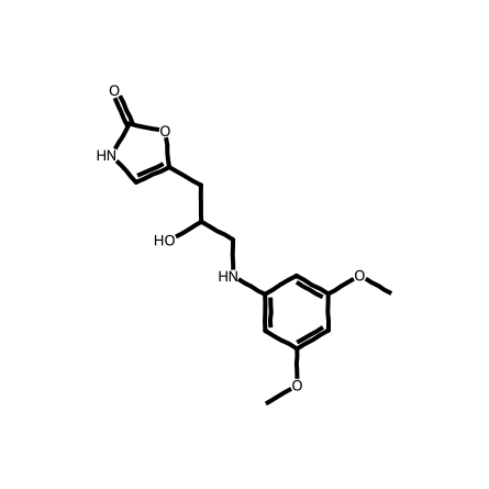 COc1cc(NCC(O)Cc2c[nH]c(=O)o2)cc(OC)c1